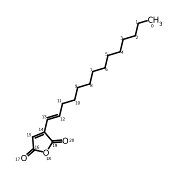 CCCCCCCCCCCC/C=C/C1=CC(=O)OC1=O